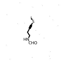 O=CNCCC#CSI